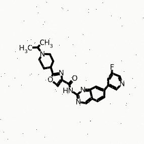 CC(C)N1CCC(c2nc(C(=O)Nc3ncc4ccc(-c5cncc(F)c5)cc4n3)co2)CC1